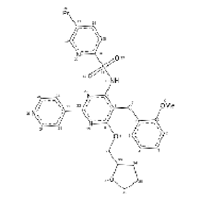 COc1ccccc1Oc1c(NS(=O)(=O)c2ccc(C(C)C)cn2)nc(-c2ccncc2)nc1OCC1CCCO1